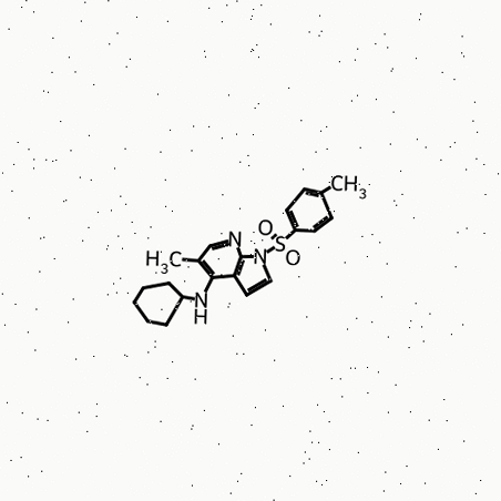 Cc1ccc(S(=O)(=O)n2ccc3c(NC4CCCCC4)c(C)cnc32)cc1